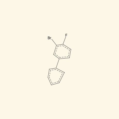 Fc1ccc(-c2ccccc2)cc1Br